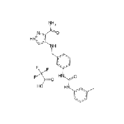 Cc1cccc(NC(=O)Nc2cccc(CNc3c[nH]nc3C(N)=O)c2)c1.O=C(O)C(F)(F)F